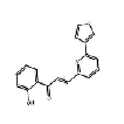 O=C(/C=C/c1cccc(-c2ccsc2)n1)c1ccccc1O